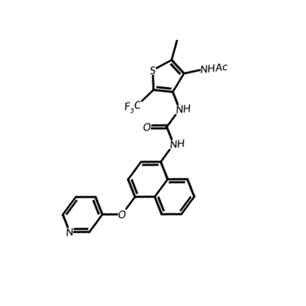 CC(=O)Nc1c(C)sc(C(F)(F)F)c1NC(=O)Nc1ccc(Oc2cccnc2)c2ccccc12